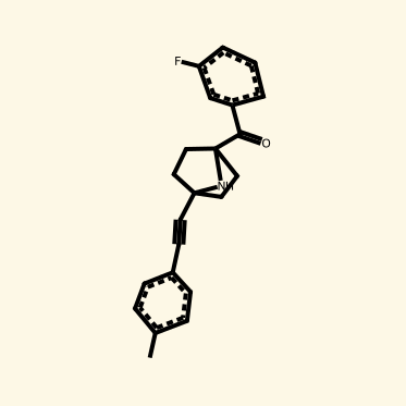 Cc1ccc(C#CC23CCC(C(=O)c4cccc(F)c4)(CC2)N3)cc1